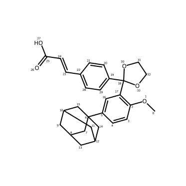 COc1ccc(C23CC4CC(CC(C4)C2)C3)cc1C1(c2ccc(C=CC(=O)O)cc2)OCCO1